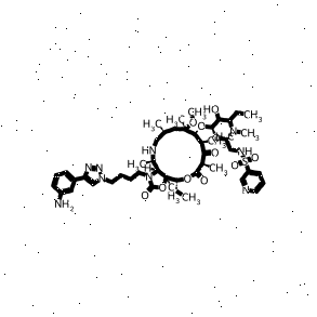 CCC(C(O)[C@@H](OCCNS(=O)(=O)c1cccnc1)O[C@@H]1[C@@H](C)C(=O)[C@@H](C)C(=O)O[C@H](CC)[C@@]2(C)OC(=O)N(CCCCn3cc(-c4cccc(N)c4)nn3)[C@@H]2[C@@H](C)NC[C@H](C)C[C@@]1(C)OC)N(C)C